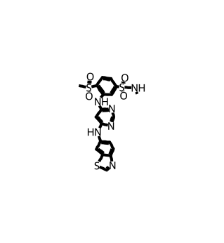 CNS(=O)(=O)c1ccc(S(C)(=O)=O)c(Nc2cc(Nc3ccc4ncsc4c3)ncn2)c1